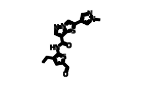 CCc1cc(C=O)sc1NC(=O)c1cnn2cc(-c3cnn(C)c3)sc12